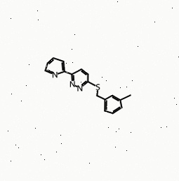 Cc1cccc(CSc2ccc(-c3ccccn3)nn2)c1